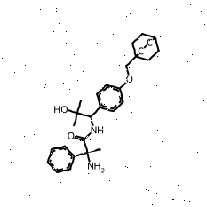 CC(C)(O)[C@H](NC(=O)[C@](C)(N)c1ccccc1)c1ccc(OCC23CCC(CC2)CC3)cc1